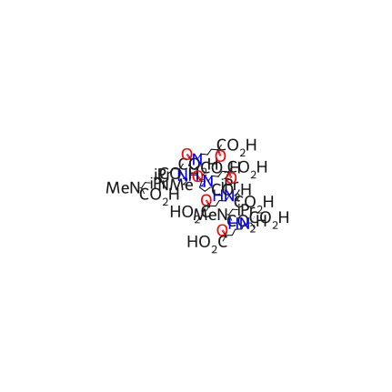 CC(C)C[C@H](N)C(=O)O.CC(C)C[C@H](NCCCC(=O)C(=O)O)C(=O)O.CN[C@@H](C)C(=O)O.CN[C@@H](CC(C)C)C(=O)O.CN[C@@H](CC(C)C)C(=O)O.C[C@H](NCCCC(=O)C(=O)O)C(=O)O.O=C(O)C(=O)CCCN1C(=O)CC[C@H]1C(=O)O.O=C(O)C(=O)CCCN1C(=O)CC[C@H]1C(=O)O